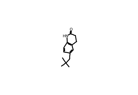 CC(C)(C)Cc1ccc2c(c1)CCC(=O)N2